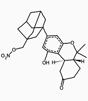 CC1(C)Oc2cc(C34CC5CC(CC(CO[N+](=O)[O-])(C5)C3)C4)cc(O)c2[C@@H]2CC(=O)CC[C@H]21